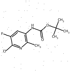 Cc1nc(Cl)c(F)cc1NC(=O)OC(C)(C)C